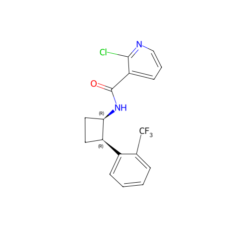 O=C(N[C@@H]1CC[C@@H]1c1ccccc1C(F)(F)F)c1cccnc1Cl